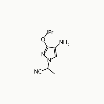 CC(C)Oc1nn(C(C)C#N)cc1N